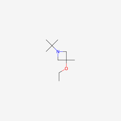 CCOC1(C)CN(C(C)(C)C)C1